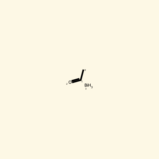 CC=O.[BiH3]